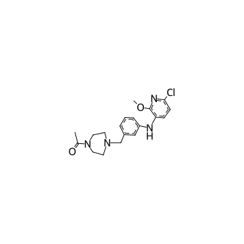 COc1nc(Cl)ccc1Nc1cccc(CN2CCN(C(C)=O)CC2)c1